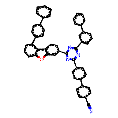 N#Cc1ccc(-c2ccc(-c3nc(-c4cccc(-c5ccccc5)c4)nc(-c4ccc5c(c4)oc4cccc(-c6ccc(-c7ccccc7)cc6)c45)n3)cc2)cc1